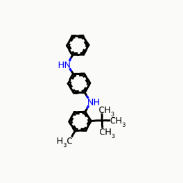 Cc1ccc(Nc2ccc(Nc3ccccc3)cc2)c(C(C)(C)C)c1